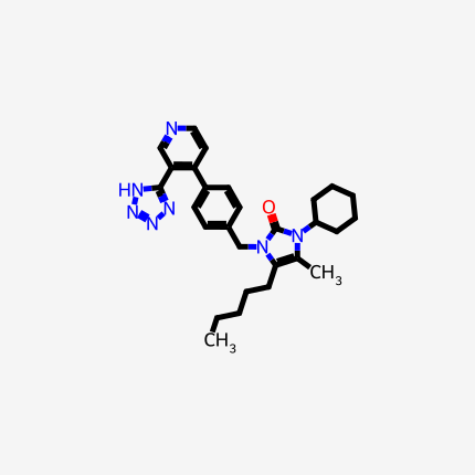 CCCCCc1c(C)n(C2CCCCC2)c(=O)n1Cc1ccc(-c2ccncc2-c2nnn[nH]2)cc1